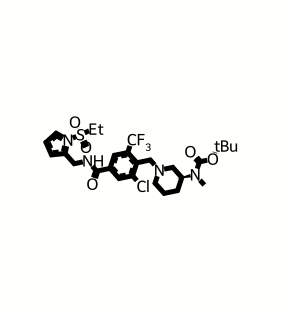 CCS(=O)(=O)n1cccc1CNC(=O)c1cc(Cl)c(CN2CCC[C@H](N(C)C(=O)OC(C)(C)C)C2)c(C(F)(F)F)c1